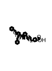 C[C@H](C1CCN(C(=O)O)CC1)N1CCN(c2cccc3c(-c4ccc(OCc5ccccc5)nc4OCc4ccccc4)nn(C)c23)CC1